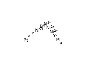 [Al-3].[Al-3].[Ni+2].[Ni+2].[Ni+2].[Pt].[Pt].[Pt].[Y].[Y].[Y]